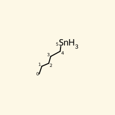 CCCC[CH2][SnH3]